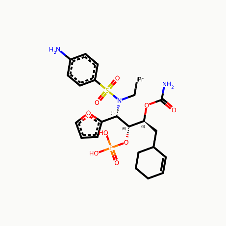 CC(C)CN([C@@H](c1ccco1)[C@@H](OP(=O)(O)O)[C@H](CC1C=CCCC1)OC(N)=O)S(=O)(=O)c1ccc(N)cc1